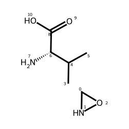 C1NO1.CC(C)[C@H](N)C(=O)O